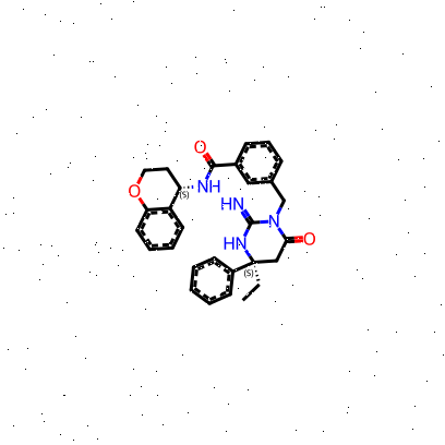 CC[C@@]1(c2ccccc2)CC(=O)N(Cc2cccc(C(=O)N[C@H]3CCOc4ccccc43)c2)C(=N)N1